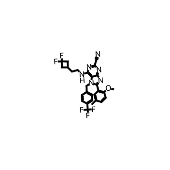 COc1ccc(C)cc1-c1nc2nc(C#N)nc(NCCC3CC(F)(F)C3)c2n1Cc1ccc(C(F)(F)F)cc1